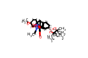 COC1CCC2(CC1)Cc1ccc(B3OC(C)(C)C(C)(C)O3)cc1C21NC(=O)N(C)C1=O